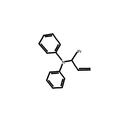 C=CC(C(C)C)N(c1ccccc1)c1ccccc1